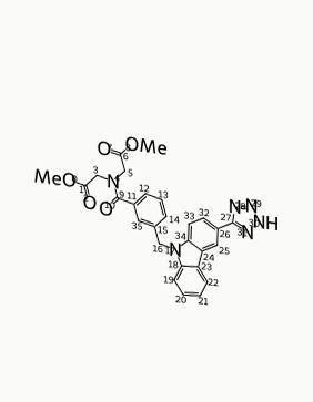 COC(=O)CN(CC(=O)OC)C(=O)c1cccc(Cn2c3ccccc3c3cc(-c4nn[nH]n4)ccc32)c1